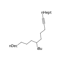 [CH2]CCCCCCC#CCCCC(CCCCCCCCCCCC[CH2])C(C)CC